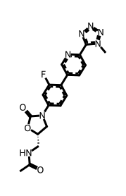 CC(=O)NC[C@H]1CN(c2ccc(-c3ccc(-c4nnnn4C)nc3)c(F)c2)C(=O)O1